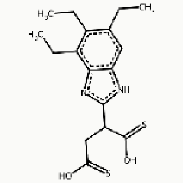 CCc1cc2[nH]c(C(CC(O)=S)C(O)=S)nc2c(CC)c1CC